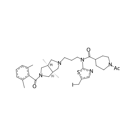 CC(=O)N1CCC(C(=O)N(CCCN2C[C@@]3(C)CN(C(=O)c4c(C)cccc4C)C[C@@]3(C)C2)c2ncc(CI)s2)CC1